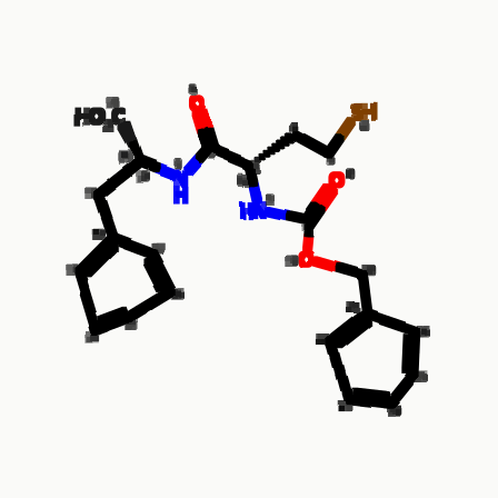 O=C(N[C@@H](CCS)C(=O)N[C@@H](Cc1ccccc1)C(=O)O)OCc1ccccc1